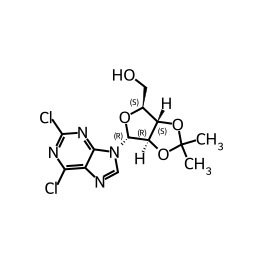 CC1(C)O[C@@H]2[C@@H](O1)[C@H](n1cnc3c(Cl)nc(Cl)nc31)O[C@H]2CO